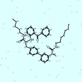 CCCCCCCNC(=O)N(C)c1cccc(-c2ccc(C[C@H](Nc3ccccc3C(=O)c3ccccc3)C(=O)NCCCCC)cc2)c1